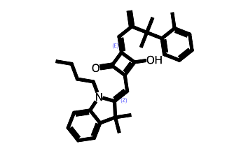 C=C(/C=C1/C(=O)C(/C=C2\N(CCCC)c3ccccc3C2(C)C)=C1O)C(C)(C)c1ccccc1C